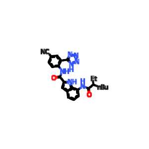 CCCCC(CC)C(=O)Nc1cccc2cc(C(=O)Nc3ccc(C#N)cc3-c3nnn[nH]3)[nH]c12